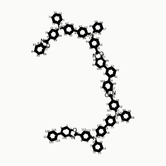 C1=CC2OC(c3ccc(N(c4ccccc4)c4ccc(-c5ccc(N(c6ccccc6)c6ccc(-c7nc8cc(-c9cccc(C%10=CC%11OC(c%12ccc(N(c%13ccccc%13)c%13ccc(-c%14ccc(N(c%15ccccc%15)c%15ccc(-c%16nc%17ccccc%17o%16)cc%15)cc%14)cc%13)cc%12)=NC%11C=C%10)c9)ccc8o7)cc6)cc5)cc4)cc3)=NC2C=C1c1ccccc1